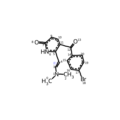 CN(C)/C=C/c1[nH]c(=O)ccc1C(=O)c1ccc(Br)cc1